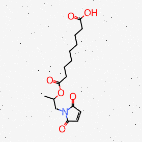 CC(CN1C(=O)C=CC1=O)OC(=O)CCCCCCCC(=O)O